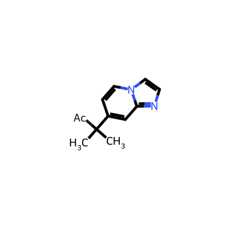 CC(=O)C(C)(C)c1ccn2ccnc2c1